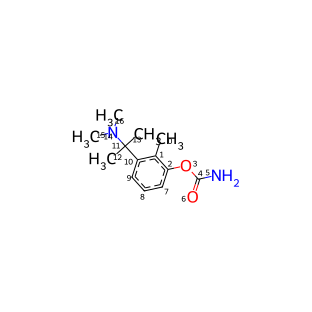 Cc1c(OC(N)=O)cccc1C(C)(C)N(C)C